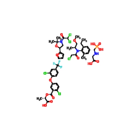 CC1(C)OC(c2ccco2)CN1C(=O)C(Cl)Cl.CCc1cccc(C)c1N(C(=O)CCl)C(C)COC.C[C@H](OC(=O)c1cc(Oc2ccc(C(F)(F)F)cc2Cl)ccc1Cl)C(=O)O.O=C(O)CNCP(=O)(O)O